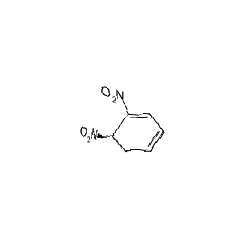 O=[N+]([O-])C1=CC=CC[C@H]1[N+](=O)[O-]